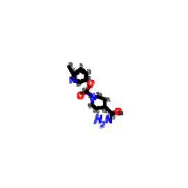 Cc1ccc(OC(=O)N2CCC(C(N)=O)CC2)cn1